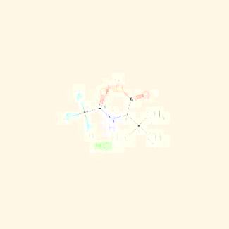 CC(C)(C)C(NC(=O)C(F)(F)F)C(=O)O.Cl